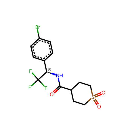 O=C(N[C@H](c1ccc(Br)cc1)C(F)(F)F)C1CCS(=O)(=O)CC1